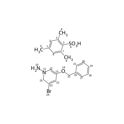 Cc1cc(C)c(S(=O)(=O)O)c(C)c1.NN1C=C(OCc2ccccc2)C=C(Br)C1